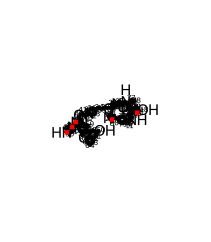 Cc1ncsc1-c1ccc([C@H](C)NC(=O)[C@@H]2C[C@@H](O)CN2C(=O)[C@@H](NC(=O)CN2CC(OCCCC3CCN(C[C@@H](C)Oc4nc(N5CCNCC5)c5cc(Cl)c(-c6cc(O)cc7ccccc67)c(F)c5n4)CC3)C2)C(C)(C)C)cc1